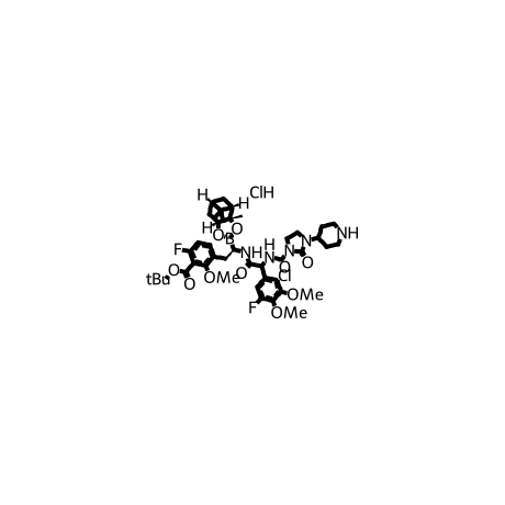 COc1c(F)cc(C(NC(=O)N2CCN(C3CCNCC3)C2=O)C(=O)N[C@@H](Cc2ccc(F)c(C(=O)OC(C)(C)C)c2OC)B2O[C@@H]3C[C@@H]4C[C@@H](C4(C)C)[C@]3(C)O2)c(Cl)c1OC.Cl